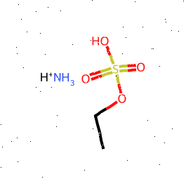 CCOS(=O)(=O)O.N.[H+]